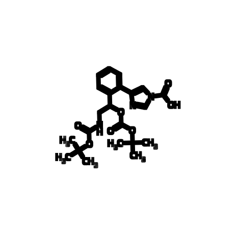 CC(C)(C)OC(=O)NCC(OC(=O)OC(C)(C)C)c1ccccc1-c1cn(C(=O)O)cn1